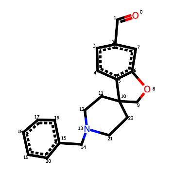 O=Cc1ccc2c(c1)OCC21CCN(Cc2ccccc2)CC1